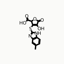 Cc1ccc2[nH]c(SC3=C(O)C(=O)OC3C(=O)O)nc2c1